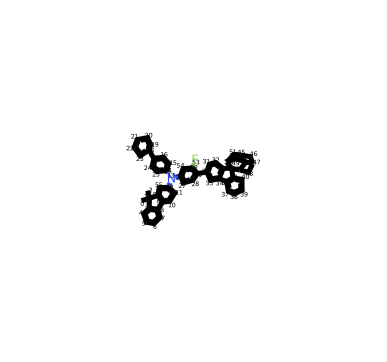 CC1(C)c2ccccc2-c2ccc(N(c3ccc(-c4ccccc4)cc3)c3ccc(-c4ccc5c(c4)-c4ccccc4C54C5CC6CC(C5)CC4C6)c(F)c3)cc21